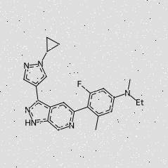 CCN(C)c1cc(C)c(-c2cc3c(-c4cnn(C5CC5)c4)n[nH]c3cn2)c(F)c1